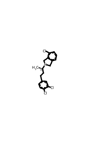 C[C@H](CCc1ccc(Cl)c(Cl)c1)N1Cc2cccc(Cl)c2C1